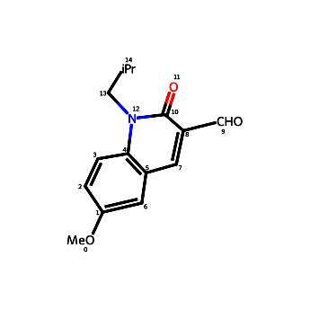 COc1ccc2c(c1)cc(C=O)c(=O)n2CC(C)C